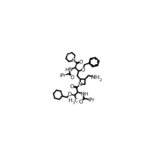 CC(C)C(=O)NC(C(=O)N1CC(CN)C1CC(OCc1ccccc1)C(NC(=O)C(C)C)C(=O)N1CCCCC1)C(C)OCC1CCCCC1